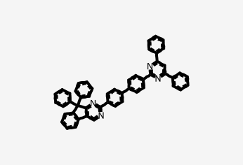 c1ccc(-c2cc(-c3ccccc3)nc(-c3ccc(-c4ccc(-c5ncc6c(n5)C(c5ccccc5)(c5ccccc5)c5ccccc5-6)cc4)cc3)n2)cc1